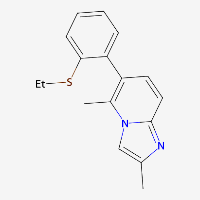 CCSc1ccccc1-c1ccc2nc(C)cn2c1C